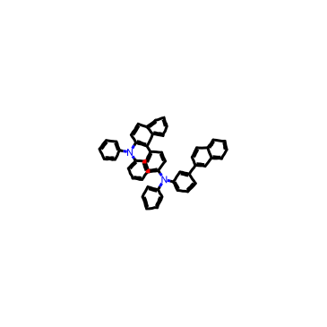 c1ccc(N(c2ccc(-c3c(N(c4ccccc4)c4ccccc4)ccc4ccccc34)cc2)c2cccc(-c3ccc4ccccc4c3)c2)cc1